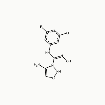 NC1=CONN1/C(=N\O)Nc1cc(F)cc(Cl)c1